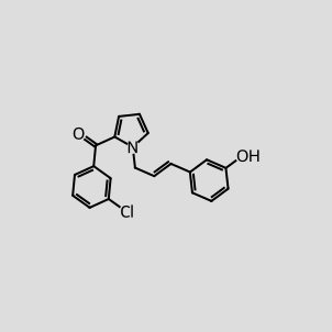 O=C(c1cccc(Cl)c1)c1cccn1C/C=C/c1cccc(O)c1